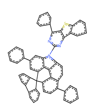 c1ccc(-c2cc3c4c5c6c(ccc(-c7ccccc7)c6ccc5n(-c5nc(-c6ccccc6)c6sc7ccccc7c6n5)c4c2)C32c3ccccc3-c3ccccc32)cc1